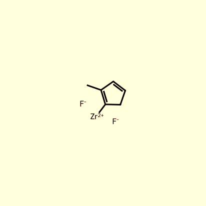 CC1=[C]([Zr+2])CC=C1.[F-].[F-]